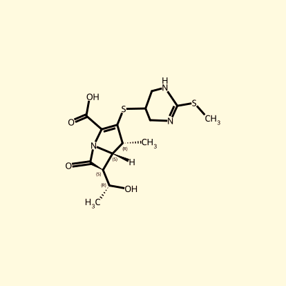 CSC1=NCC(SC2=C(C(=O)O)N3C(=O)[C@H]([C@@H](C)O)[C@H]3[C@H]2C)CN1